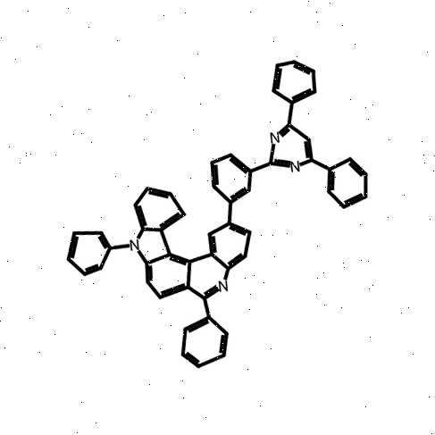 c1ccc(-c2cc(-c3ccccc3)nc(-c3cccc(-c4ccc5nc(-c6ccccc6)c6ccc7c(c8ccccc8n7-c7ccccc7)c6c5c4)c3)n2)cc1